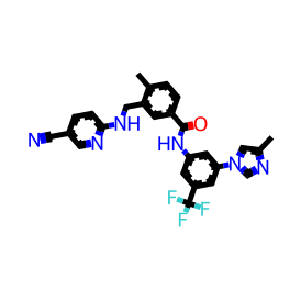 Cc1cn(-c2cc(NC(=O)c3ccc(C)c(CNc4ccc(C#N)cn4)c3)cc(C(F)(F)F)c2)cn1